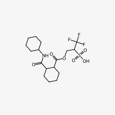 O=C(NC1CCCCC1)C1CCCCC1C(=O)OCC(C(F)(F)F)S(=O)(=O)O